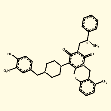 Cc1c(N2CCN(Cc3ccc(O)c([N+](=O)[O-])c3)CC2)c(=O)n(C[C@@H](N)c2ccccc2)c(=O)n1Cc1c(F)cccc1C(F)(F)F